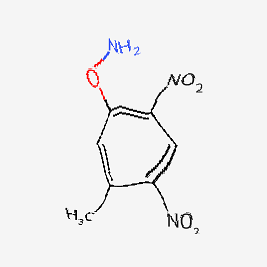 Cc1cc(ON)c([N+](=O)[O-])cc1[N+](=O)[O-]